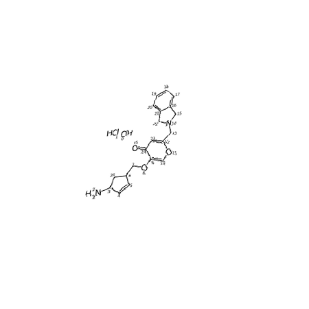 Cl.Cl.NC1C=CC(COc2coc(CN3Cc4ccccc4C3)cc2=O)C1